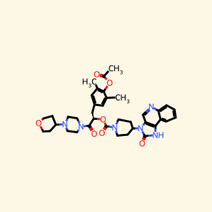 CC(=O)Oc1c(C)cc(C[C@@H](OC(=O)N2CCC(n3c(=O)[nH]c4c5ccccc5ncc43)CC2)C(=O)N2CCN(C3CCOCC3)CC2)cc1C